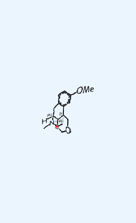 COc1ccc2c(c1)[C@]13CCN(C)[C@H](C2)[C@]1(C)OCOC3